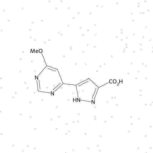 COc1cc(-c2cc(C(=O)O)n[nH]2)ncn1